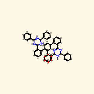 CN1C(c2ccccc2)=NC(c2ccccc2-c2ccc(-c3ccccc3C3=NC(c4ccccc4)=NC(c4ccccc4)N3)c(-c3ccccc3)c2)=NC1c1ccccc1